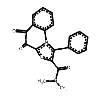 CN(C)C(=O)c1nc2n(c1-c1ccccc1)-c1ccccc1C(=O)C2=O